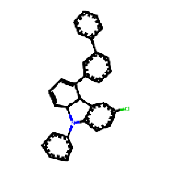 Clc1ccc2c(c1)C1C(c3cccc(-c4ccccc4)c3)=CC=CC1N2c1ccccc1